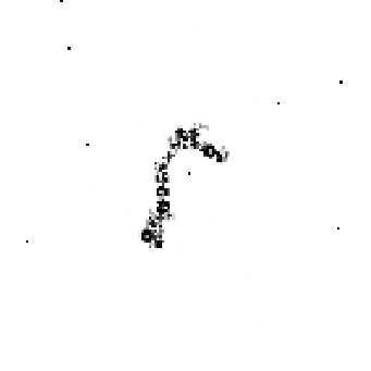 COc1cc(N2CCC(N3CCN(C(=O)COCCOCC(=O)N[C@H](C(=O)N4C[C@H](O)C[C@H]4C(=O)NCc4ccc(-c5scnc5C)cc4)C(C)(C)C)CC3)CC2)ccc1Nc1ncnc(Nc2ccccc2S(=O)(=O)C(C)C)n1